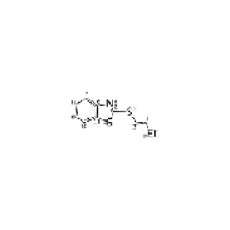 CCC=CSc1nc2ccccc2s1